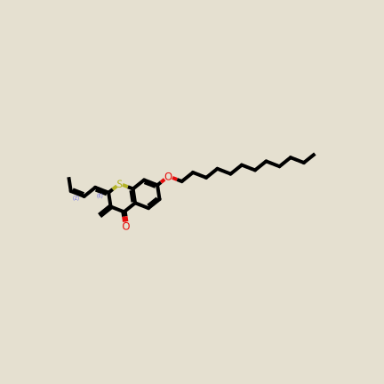 C=c1c(=O)c2ccc(OCCCCCCCCCCCC)cc2s/c1=C/C=C\C